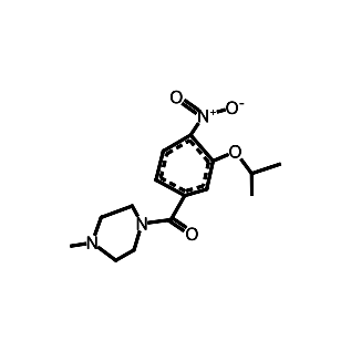 CC(C)Oc1cc(C(=O)N2CCN(C)CC2)ccc1[N+](=O)[O-]